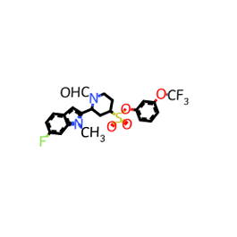 Cn1c(C2CC(S(=O)(=O)Oc3cccc(OC(F)(F)F)c3)CCN2C=O)cc2ccc(F)cc21